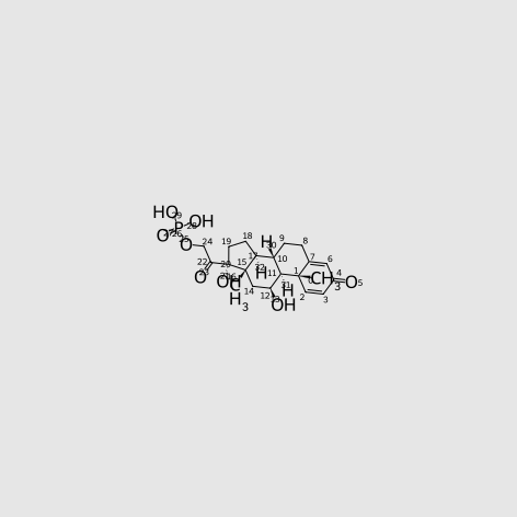 C[C@]12C=CC(=O)C=C1CC[C@@H]1[C@@H]2[C@@H](O)C[C@@]2(C)[C@H]1CC[C@]2(O)C(=O)COP(=O)(O)O